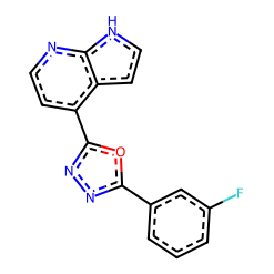 Fc1cccc(-c2nnc(-c3ccnc4[nH]ccc34)o2)c1